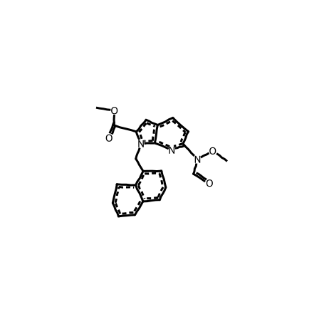 COC(=O)c1cc2ccc(N(C=O)OC)nc2n1Cc1cccc2ccccc12